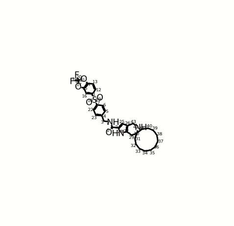 O=C(NCc1ccc(S(=O)(=O)c2ccc3c(c2)OC(F)(F)O3)cc1)c1cc2c([nH]1)CC1(CCCCCCCCCCC1)NC2